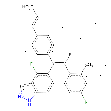 CCC(=C(c1ccc(C=CC(=O)O)cc1)c1ccc2[nH]ncc2c1F)c1ccc(F)cc1C